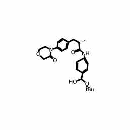 C[C@@H](Cc1ccc(N2CCOCC2=O)cc1)C(=O)Nc1ccc(C(O)OC(C)(C)C)cc1